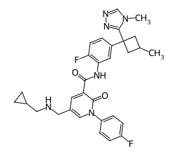 CC1CC(c2ccc(F)c(NC(=O)c3cc(CNCC4CC4)cn(-c4ccc(F)cc4)c3=O)c2)(c2nncn2C)C1